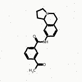 CC(=O)c1cccc(C(=O)Nc2ccc3c(c2)C2CCCN2CC3)c1